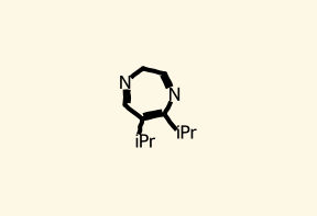 CC(C)C1=C(C(C)C)N=CCN=C1